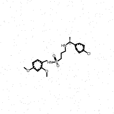 COc1ccc(CNS(=O)(=O)CCCN[C@@H](C)c2ccc(Cl)cc2)c(OC)c1